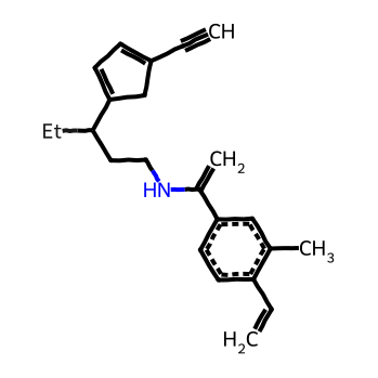 C#CC1=CC=C(C(CC)CCNC(=C)c2ccc(C=C)c(C)c2)C1